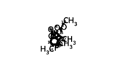 CCOC(=O)C[C@@]1(C[N+](=O)[O-])[C@H]2CC[C@@H](C)C(F)(F)[C@@]2(C)[C@H]1C